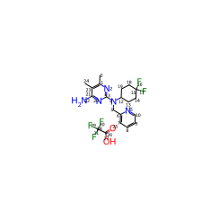 Cc1nc(N(Cc2ccccn2)C2CCC(F)(F)CC2)nc(N)c1C.O=C(O)C(F)(F)F